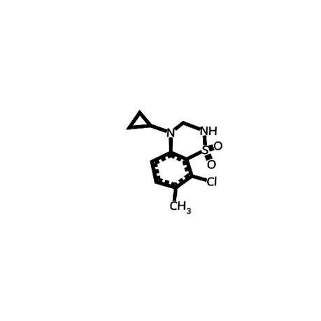 Cc1ccc2c(c1Cl)S(=O)(=O)NCN2C1CC1